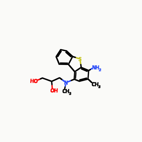 Cc1cc(N(C)CC(O)CO)c2c(sc3ccccc32)c1N